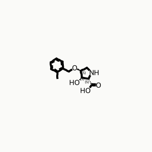 Cc1ccccc1CO[C@H]1CN[C@H](C(=O)O)[C@@H]1O